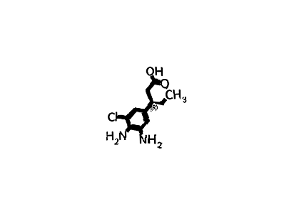 CC[C@H](CC(=O)O)c1cc(N)c(N)c(Cl)c1